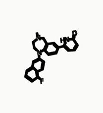 CN1CCN(c2ccc3c(F)cccc3c2)c2ccc(-c3cccc(=O)[nH]3)cc2C1